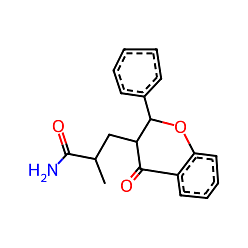 CC(CC1C(=O)c2ccccc2OC1c1ccccc1)C(N)=O